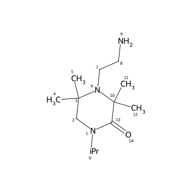 CC(C)N1CC(C)(C)N(CCN)C(C)(C)C1=O